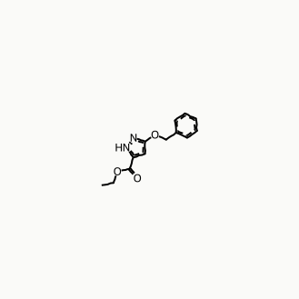 CCOC(=O)c1cc(OCc2ccccc2)n[nH]1